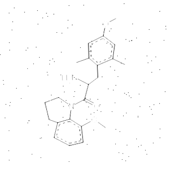 COc1cc(C)c(CC(N)C(=O)N2CCCc3cccc(OC)c32)c(C)c1